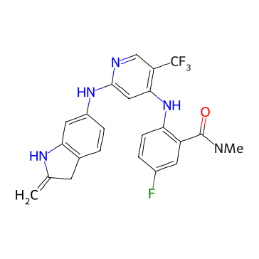 C=C1Cc2ccc(Nc3cc(Nc4ccc(F)cc4C(=O)NC)c(C(F)(F)F)cn3)cc2N1